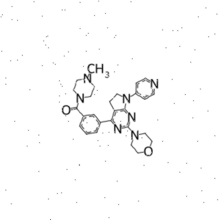 CN1CCN(C(=O)c2cccc(-c3nc(N4CCOCC4)nc4c3CCN4c3ccncc3)c2)CC1